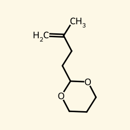 C=C(C)CCC1OCCCO1